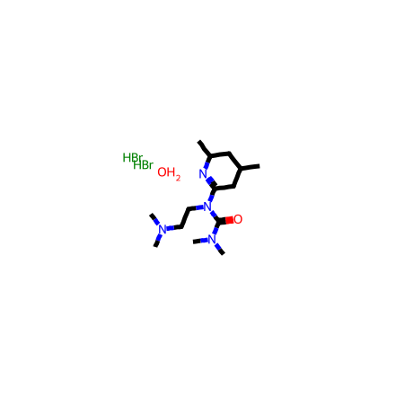 Br.Br.CC1CC(N(CCN(C)C)C(=O)N(C)C)=NC(C)C1.O